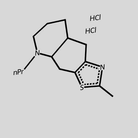 CCCN1CCCC2Cc3nc(C)sc3CC21.Cl.Cl